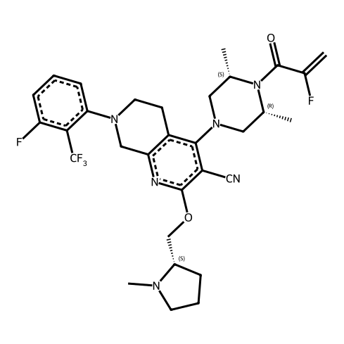 C=C(F)C(=O)N1[C@H](C)CN(c2c(C#N)c(OC[C@@H]3CCCN3C)nc3c2CCN(c2cccc(F)c2C(F)(F)F)C3)C[C@@H]1C